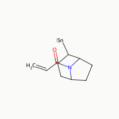 C=CC(=O)N1C2CC[CH]([Sn])C1CC2